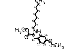 CCCCCCCCCN[C@H](Cc1ccc(OCC)cc1)C(=O)OC